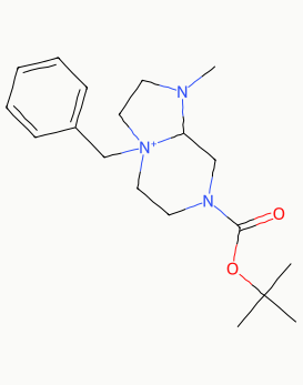 CN1CC[N+]2(Cc3ccccc3)CCN(C(=O)OC(C)(C)C)CC12